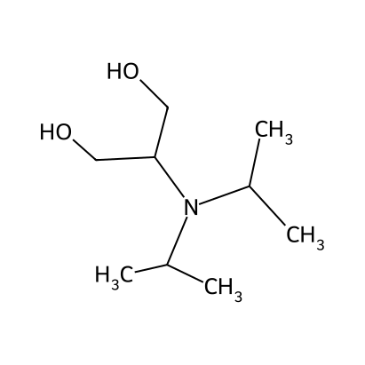 CC(C)N(C(C)C)C(CO)CO